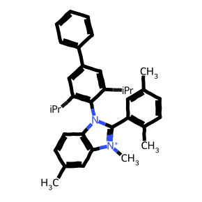 Cc1ccc(C)c(-c2n(-c3c(C(C)C)cc(-c4ccccc4)cc3C(C)C)c3ccc(C)cc3[n+]2C)c1